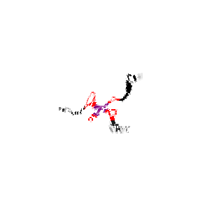 C#CCOP(=O)(OCCCCC)OCCCCC